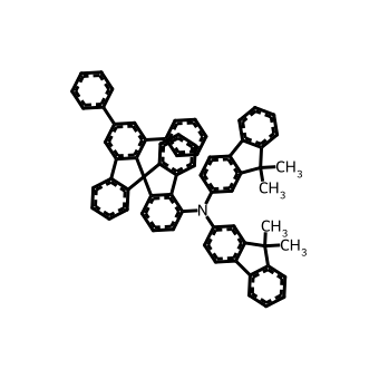 CC1(C)c2ccccc2-c2ccc(N(c3ccc4c(c3)C(C)(C)c3ccccc3-4)c3cccc4c3-c3ccccc3C43c4ccccc4-c4cc(-c5ccccc5)cc(-c5ccccc5)c43)cc21